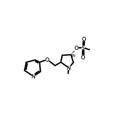 CN1C[C@@H](OS(C)(=O)=O)CC1COc1cccnc1